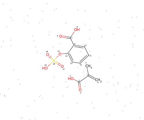 C=C(C)C(=O)O.O=C(O)c1ccccc1OS(=O)(=O)O